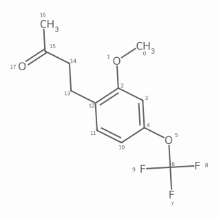 COc1cc(OC(F)(F)F)ccc1CCC(C)=O